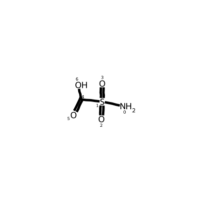 NS(=O)(=O)C(=O)O